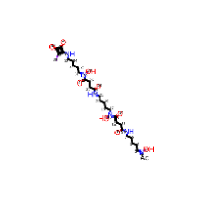 CC(=O)N(O)CCCCCNC(=O)CCC(=O)N(O)CCCCCNC(=O)CCC(=O)N(O)CCCCCNc1c(I)c(=O)c1=O